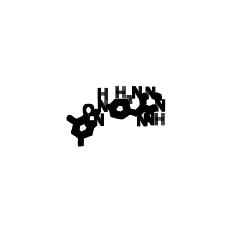 Cc1cc(C)c2oc(Nc3ccc(-c4n[nH]c5ncnc(N)c45)cc3)nc2c1